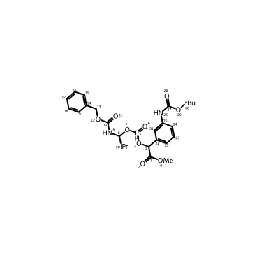 COC(=O)C(O[PH](=O)OC(NC(=O)OCc1ccccc1)C(C)C)c1cccc(NC(=O)OC(C)(C)C)c1